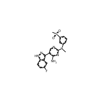 CN(c1cccc(S(C)(=O)=O)c1)c1ncc(-c2n[nH]c3ccc(F)cc23)c(N)n1